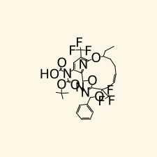 CCC1CCC=CCC(OCc2ccccc2)(C(F)(F)F)c2nnc(o2)-c2nc(c(C(F)(F)F)cc2N(C(=O)O)C(=O)OC(C)(C)C)O1